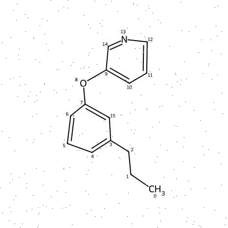 CCCc1cc[c]c(Oc2cccnc2)c1